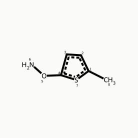 Cc1ccc(ON)s1